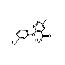 Cc1cc(C(N)=O)c(Oc2cccc(C(F)(F)F)c2)nn1